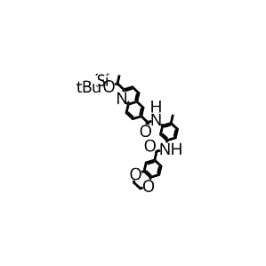 Cc1ccc(NC(=O)c2ccc3c(c2)OCCO3)cc1NC(=O)c1ccc2nc(C(C)O[Si](C)(C)C(C)(C)C)ccc2c1